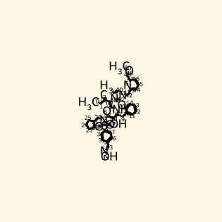 CC[C@H](C)[C@@H](C(=O)N[C@@H](Cc1ccccc1)[C@@H](O)CN(CC1CCCC1)S(=O)(=O)c1ccc(C=NO)cc1)N1CCN(Cc2cccc(COC)n2)C1=O